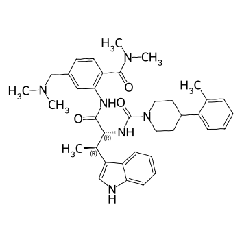 Cc1ccccc1C1CCN(C(=O)N[C@@H](C(=O)Nc2cc(CN(C)C)ccc2C(=O)N(C)C)[C@H](C)c2c[nH]c3ccccc23)CC1